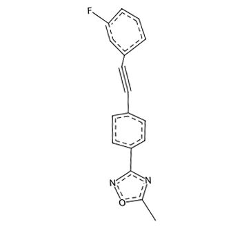 Cc1nc(-c2ccc(C#Cc3cccc(F)c3)cc2)no1